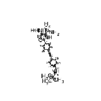 C[C@@H](N)[C@H](NC(=O)c1ccc(C#Cc2ccc(CNCC(C)(C)C)cc2)cc1)C(=O)NO